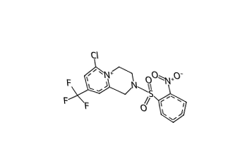 O=[N+]([O-])c1ccccc1S(=O)(=O)N1CC[n+]2c(Cl)cc(C(F)(F)F)cc2C1